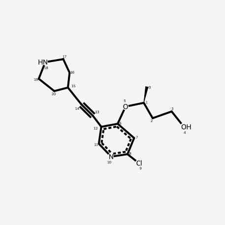 C[C@@H](CCO)Oc1cc(Cl)ncc1C#CC1CCNCC1